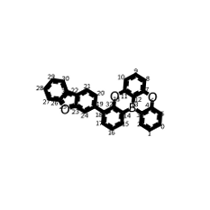 c1ccc2c(c1)Oc1cccc3c1B2c1cccc(-c2ccc4c(c2)oc2ccccc24)c1O3